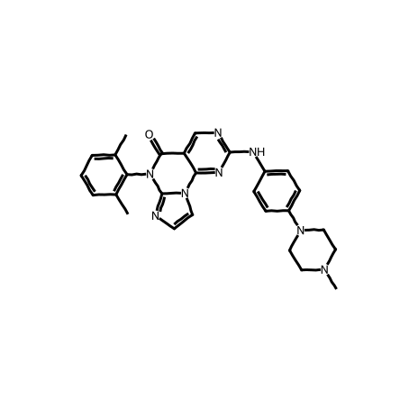 Cc1cccc(C)c1-n1c(=O)c2cnc(Nc3ccc(N4CCN(C)CC4)cc3)nc2n2ccnc12